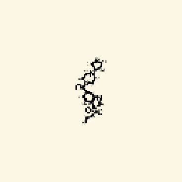 CCCS(=O)(=O)n1cnc2cc(C(=O)N3CCN(C4CCCC4)CC3)ccc21